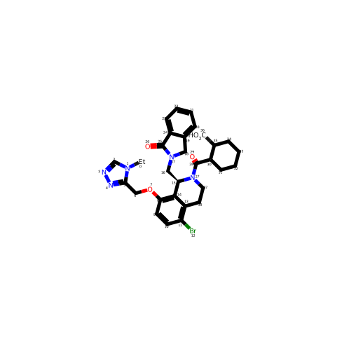 CCn1cnnc1COc1ccc(Br)c2c1[C@@H](CN1Cc3ccccc3C1=O)N(C(=O)C1CCCCC1C(=O)O)CC2